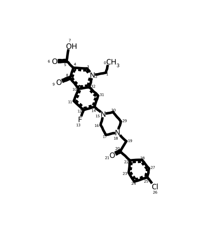 CCn1cc(C(=O)O)c(=O)c2cc(F)c(N3CCN(CC(=O)c4ccc(Cl)cc4)CC3)cc21